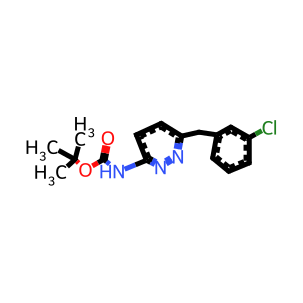 CC(C)(C)OC(=O)Nc1ccc(Cc2cccc(Cl)c2)nn1